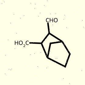 O=CC1C2CCC(C2)C1C(=O)O